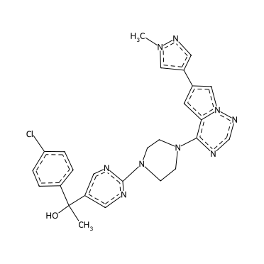 Cn1cc(-c2cc3c(N4CCN(c5ncc(C(C)(O)c6ccc(Cl)cc6)cn5)CC4)ncnn3c2)cn1